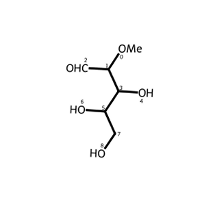 COC(C=O)C(O)C(O)CO